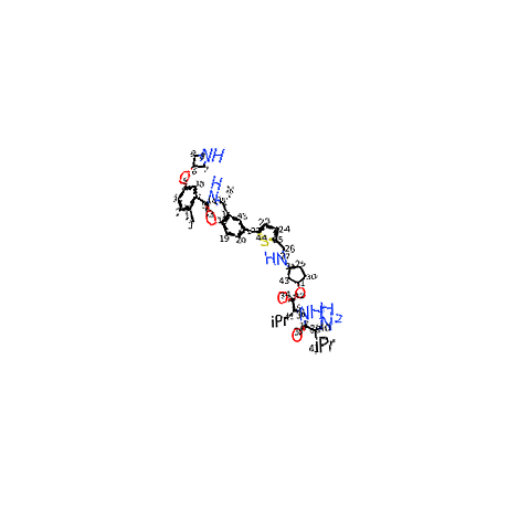 Cc1ccc(OC2CNC2)cc1C(=O)N[C@H](C)c1cccc(-c2ccc(CN[C@H]3CC[C@@H](OC(=O)[C@@H](NC(=O)[C@@H](N)C(C)C)C(C)C)C3)s2)c1